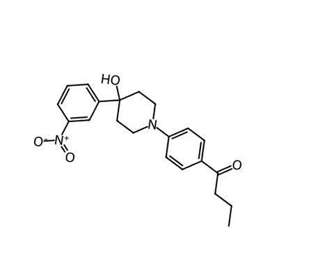 CCCC(=O)c1ccc(N2CCC(O)(c3cccc([N+](=O)[O-])c3)CC2)cc1